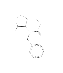 C[C@@H](Cl)C(=O)N(Cc1ccccc1)C1CCOC1O